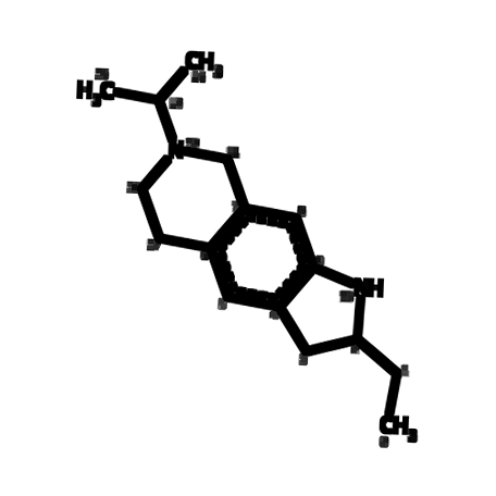 CCC1Cc2cc3c(cc2N1)CN(C(C)C)CC3